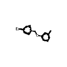 CCc1ccc(COc2cccc(C)c2)cc1